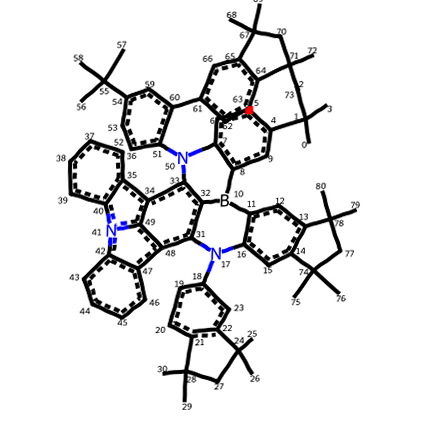 CC(C)(C)c1ccc2c(c1)B1c3cc4c(cc3N(c3ccc5c(c3)C(C)(C)CC5(C)C)c3c1c(c1c5ccccc5n5c6ccccc6c3c15)N2c1ccc(C(C)(C)C)cc1-c1ccc2c(c1)C(C)(C)CC2(C)C)C(C)(C)CC4(C)C